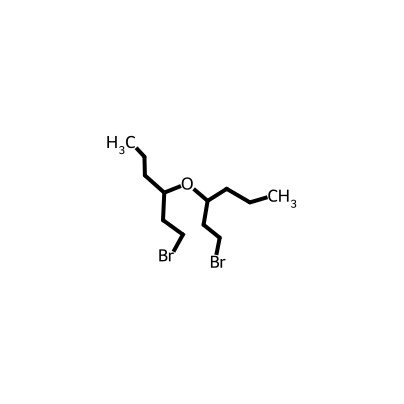 CCCC(CCBr)OC(CCC)CCBr